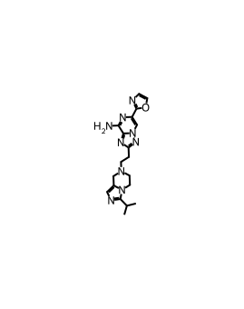 CC(C)c1ncc2n1CCN(CCc1nc3c(N)nc(-c4ncco4)cn3n1)C2